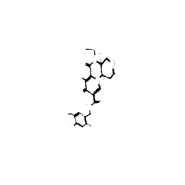 CCN1C(=O)c2c(O)c(=O)c(C(=O)NCc3cc(C)c(F)cc3F)cn2[C@H]2CCOC[C@H]21